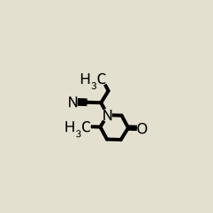 CCC(C#N)N1CC(=O)CCC1C